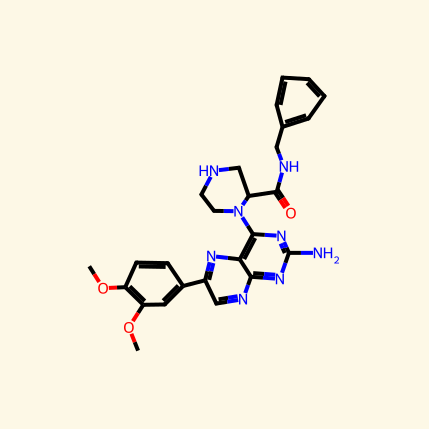 COc1ccc(-c2cnc3nc(N)nc(N4CCNCC4C(=O)NCc4ccccc4)c3n2)cc1OC